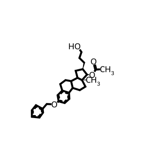 CC(=O)O[C@H]1[C@H](CCCO)CC2C3CCc4cc(OCc5ccccc5)ccc4C3CC[C@@]21C